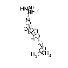 CN(C)CC(=O)N1CCC(c2ccc3c(c2)Nc2nc(=O)n(C4CCN(CCCNC(=N)N)CC4)cc2O3)CC1